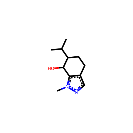 CC(C)C1CCc2cnn(C)c2C1O